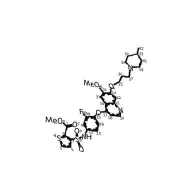 COC(=O)c1sccc1S(=O)(=O)Nc1ccc(Oc2ccnc3cc(OCCCN4CCC(C)CC4)c(OC)cc23)c(F)c1